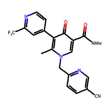 CNC(=O)c1cn(Cc2ccc(C#N)cn2)c(C)c(-c2ccnc(C(F)(F)F)c2)c1=O